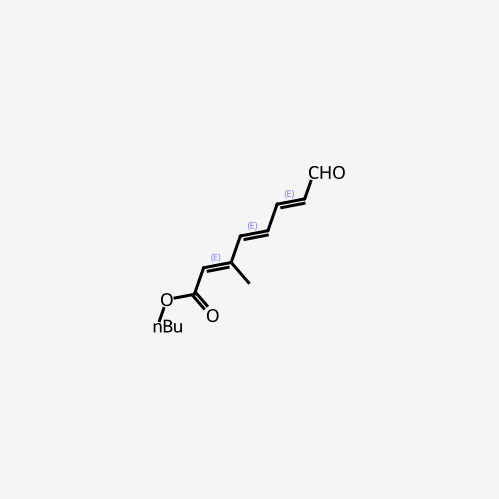 CCCCOC(=O)/C=C(C)/C=C/C=C/C=O